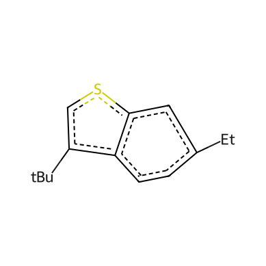 CCc1ccc2c(C(C)(C)C)csc2c1